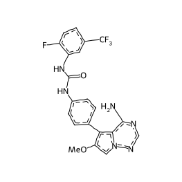 COc1cn2ncnc(N)c2c1-c1ccc(NC(=O)Nc2cc(C(F)(F)F)ccc2F)cc1